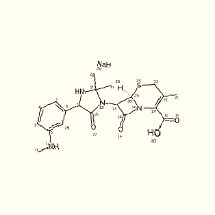 CNc1cccc(C2NC(C)(C)N(C3C(=O)N4C(C(=O)O)=C(C)CS[C@H]34)C2=O)c1.[NaH]